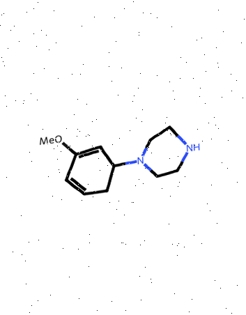 COC1=CC(N2CCNCC2)CC=C1